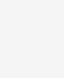 CC[C@H](COC)Nc1nccc(Cl)c1N